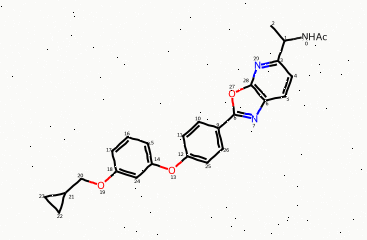 CC(=O)NC(C)c1ccc2nc(-c3ccc(Oc4cccc(OCC5CC5)c4)cc3)oc2n1